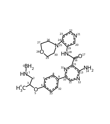 BNCC(C)Oc1ccc(-c2cnc(N)c(C(=O)Nc3cnccc3N3CCOCC3)n2)cc1